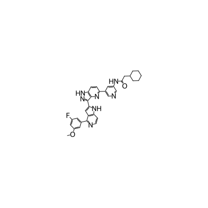 COc1cc(F)cc(-c2nccc3[nH]c(-c4n[nH]c5ccc(-c6cncc(NC(=O)CC7CCCCC7)c6)nc45)cc23)c1